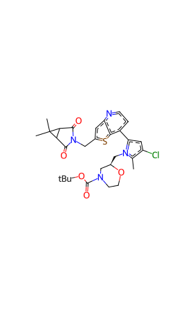 Cc1c(Cl)cc(-c2ccnc3cc(CN4C(=O)C5C(C4=O)C5(C)C)sc23)n1C[C@@H]1CN(C(=O)OC(C)(C)C)CCO1